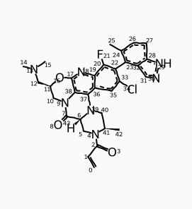 C=CC(=O)N1C[C@@H]2C(=O)N3C[C@@H](CN(C)C)Oc4nc5c(F)c(-c6c(C)ccc7[nH]ncc67)c(Cl)cc5c(c43)N2C[C@H]1C